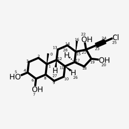 C[C@]12CCC(O)C(O)C1CC[C@@H]1[C@H]2CC[C@@]2(C)[C@H]1CC(O)C2(O)C#CCl